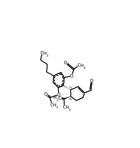 C=C(C)[C@@H]1CCC(C=O)=C[C@H]1c1c(OC(C)=O)cc(CCCC)cc1OC(C)=O